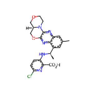 Cc1cc([C@@H](C)Nc2ccc(Cl)nc2C(=O)O)c2nc3c(nc2c1)N1CCOC[C@H]1CO3